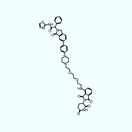 O=C1CCC(N2C(=O)c3cccc(NCCOCCOCCN4CCN(c5ccc(-c6ccc7c(c6)C(=O)N(C(C(=O)Nc6nccs6)c6ccccc6)C7)cc5)CC4)c3C2=O)C(=O)N1